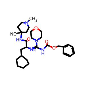 CN1CCC(C#N)(NC(=O)C(CC2CCCCC2)/N=C(/NC(=O)OCc2ccccc2)N2CCOCC2)CC1